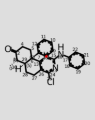 C[C@@H]1C(=O)CC[C@]2(c3ccccc3)c3nc(Nc4ccccc4)nc(Cl)c3CC[C@@H]12